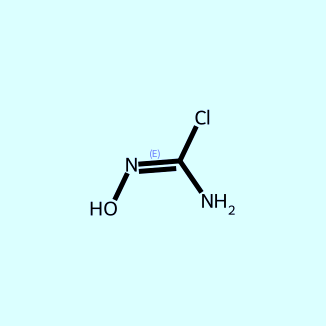 N/C(Cl)=N\O